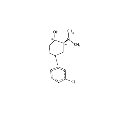 CN(C)[C@H]1CC(c2cccc(Cl)c2)CC[C@@H]1O